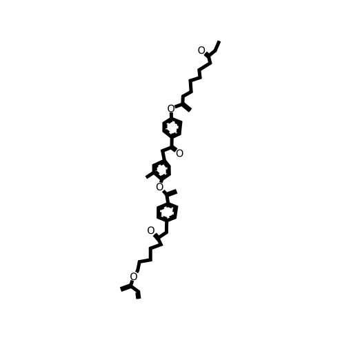 C=CC(=C)OCCCCCC(=O)Cc1ccc(C(=C)Oc2ccc(CC(=O)c3ccc(OC(=C)CCCCCCC(=O)CC)cc3)cc2C)cc1